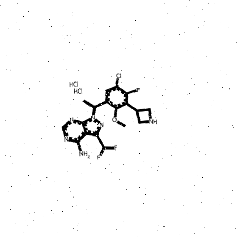 COc1c(C(C)n2nc(C(F)F)c3c(N)ncnc32)cc(Cl)c(F)c1C1CNC1.Cl.Cl